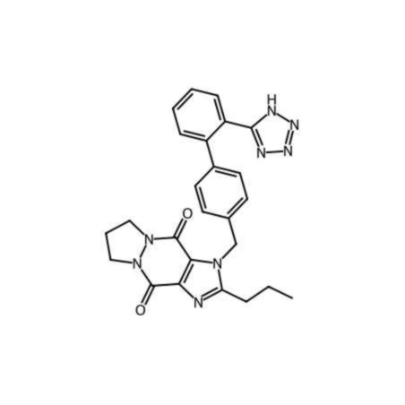 CCCc1nc2c(=O)n3n(c(=O)c2n1Cc1ccc(-c2ccccc2-c2nnn[nH]2)cc1)CCC3